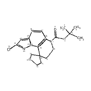 CC(C)(C)OC(=O)N1CCC2(CCOC2)c2c1cnc1cc(Cl)nn21